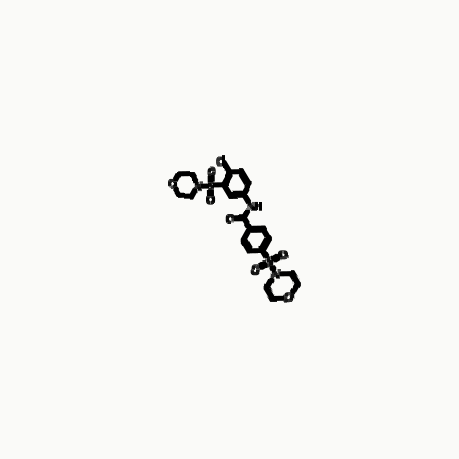 O=C(Nc1ccc(Cl)c(S(=O)(=O)N2CCOCC2)c1)c1ccc(S(=O)(=O)N2CCOCC2)cc1